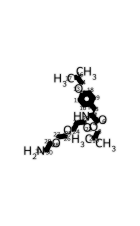 CC(C)COC(=O)[C@H](Cc1ccc(OCC(C)C)cc1)NC(=O)CCOCCOCCN